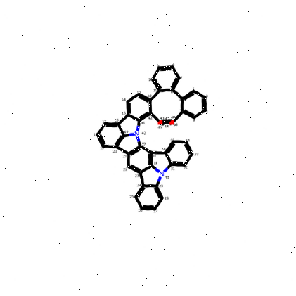 c1ccc2c(c1)-c1ccccc1-c1ccc3c4cccc5c6cc7c8ccccc8n8c9ccccc9c(c78)c6n(c3c1-c1ccccc1-2)c45